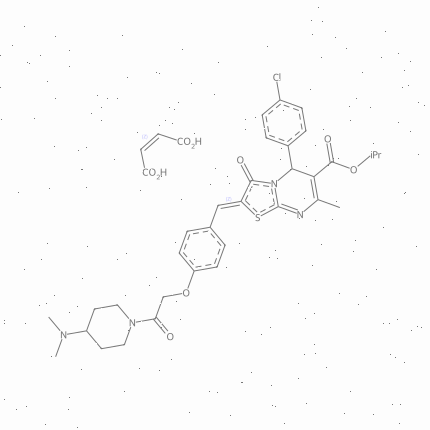 CC1=C(C(=O)OC(C)C)C(c2ccc(Cl)cc2)n2c(s/c(=C\c3ccc(OCC(=O)N4CCC(N(C)C)CC4)cc3)c2=O)=N1.O=C(O)/C=C\C(=O)O